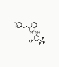 Cc1ccc(CCc2cnc(Nc3cc(Cl)cc(C(F)(F)F)c3)c3ccccc23)cn1